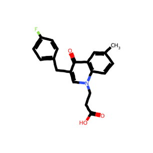 Cc1ccc2c(c1)c(=O)c(Cc1ccc(F)cc1)cn2CCC(=O)O